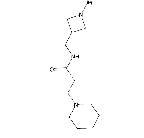 CC(C)N1CC(CNC(=O)CCN2CCCCC2)C1